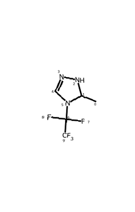 CC1NN=CN1C(F)(F)C(F)(F)F